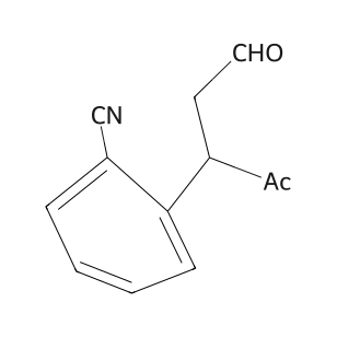 CC(=O)C(CC=O)c1ccccc1C#N